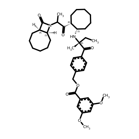 CC[C@@](C)(N[C@H]1CCCCCC[C@H]1C(=O)C(C)N1C(=O)[C@@H]2CCCCCC[C@@H]21)C(=O)c1ccc(COC(=O)c2cc(OC)cc(OC)c2)cc1